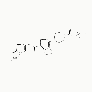 Cc1cn2cc(NC(=O)c3ccc(N4CCN(C(=O)OC(C)(C)C)CC4)c4nnn(C)c34)cc(F)c2n1